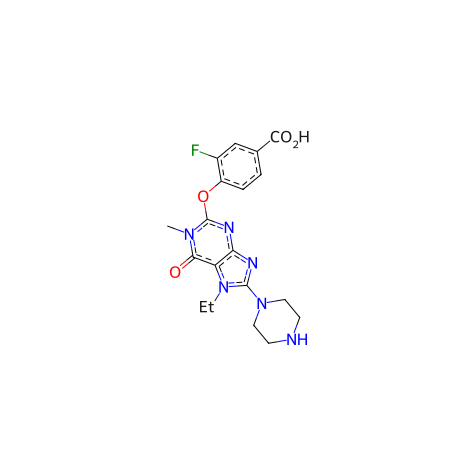 CCn1c(N2CCNCC2)nc2nc(Oc3ccc(C(=O)O)cc3F)n(C)c(=O)c21